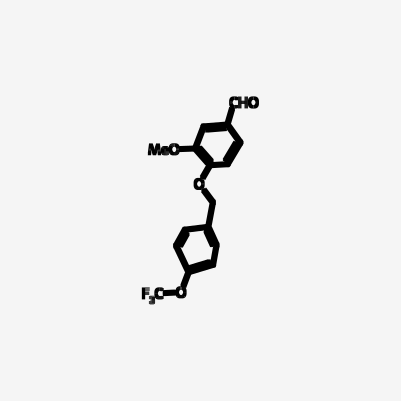 COc1cc(C=O)ccc1OCc1ccc(OC(F)(F)F)cc1